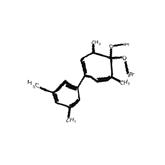 CC1=CC(c2cc(C)cc(C)c2)=CC(C)C1(OC(C)C)OC(C)C